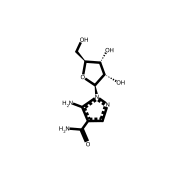 NC(=O)c1cnn([C@H]2O[C@@H](CO)[C@H](O)[C@@H]2O)c1N